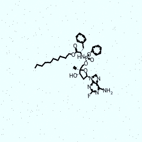 C#C[C@]1(CO[P@@](=O)(N[C@@H](Cc2ccccc2)C(=O)OCCCCCCCCCC)Oc2ccccc2)O[C@@H](n2cnc3c(N)nc(F)nc32)C[C@@H]1O